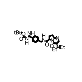 CCN(CC)c1cnc2n(c1=O)C(C(=O)NCc1ccc(C(=N)NC(=O)OC(C)(C)C)cc1)CC2